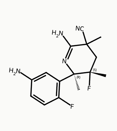 CC1(C#N)C[C@](C)(F)[C@@](C)(c2cc(N)ccc2F)N=C1N